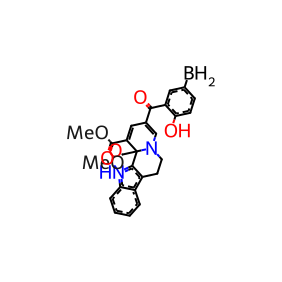 Bc1ccc(O)c(C(=O)C2=CN3CCc4c([nH]c5ccccc45)C3(C(=O)OC)C(C(=O)OC)=C2)c1